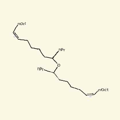 CCCCCCCC/C=C\CCCCC(CCC)OC(CCC)CCCC/C=C\CCCCCCCC